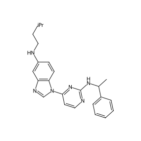 CC(C)CCNc1ccc2c(c1)ncn2-c1ccnc(NC(C)c2ccccc2)n1